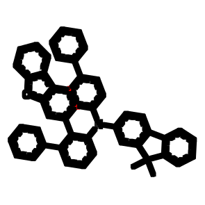 CC1(C)c2ccccc2-c2ccc(N(c3ccc(-c4ccccc4)cc3)c3cccc(-c4ccccc4)c3-c3ccc4c(c3)oc3ccccc34)cc21